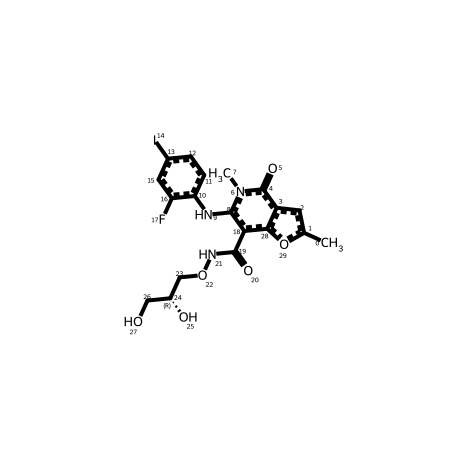 Cc1cc2c(=O)n(C)c(Nc3ccc(I)cc3F)c(C(=O)NOC[C@H](O)CO)c2o1